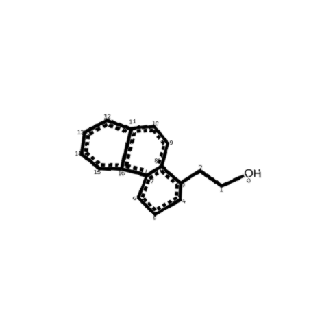 OCCc1cccc2c1ccc1ccccc12